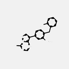 COc1cc(-c2cnn3c(O)ncnc23)ccc1Cc1ccccc1C